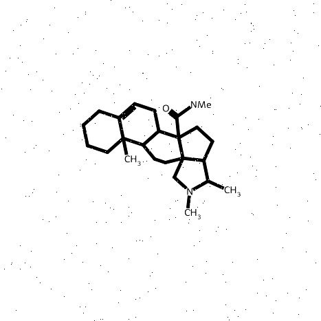 CNC(=O)C12CCC3C(C)N(C)CC31CCC1C2CC=C2C[C]CCC21C